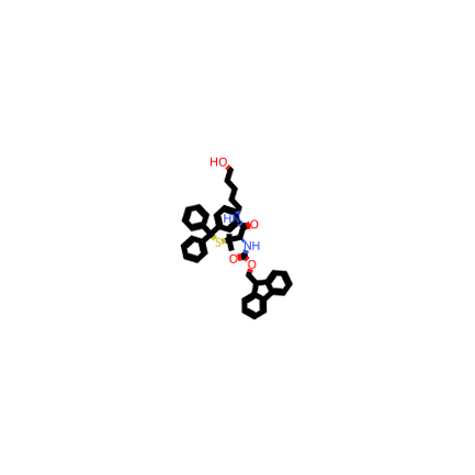 CC(C)(SC(c1ccccc1)(c1ccccc1)c1ccccc1)[C@H](NC(=O)OCC1c2ccccc2-c2ccccc21)C(=O)NCCCCCO